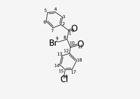 O=C(c1ccccc1)C(Br)C(=O)c1ccc(Cl)cc1